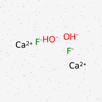 [Ca+2].[Ca+2].[F-].[F-].[OH-].[OH-]